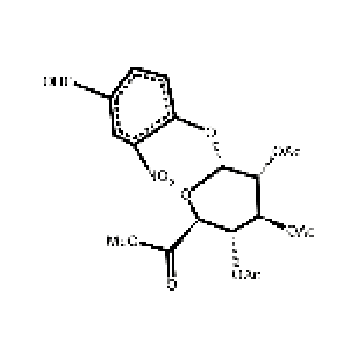 COC(=O)[C@H]1O[C@H](Oc2ccc(C=O)cc2[N+](=O)[O-])[C@H](OC(C)=O)[C@@H](OC(C)=O)[C@@H]1OC(C)=O